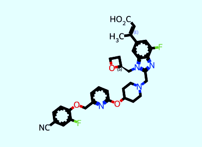 C/C(=C\C(=O)O)c1cc(F)c2nc(CN3CCC(Oc4cccc(COc5ccc(C#N)cc5F)n4)CC3)n(C[C@@H]3CCO3)c2c1